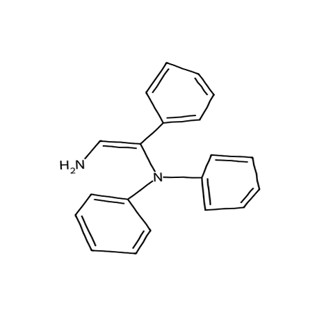 NC=C(c1ccccc1)N(c1ccccc1)c1ccccc1